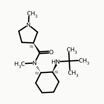 CN1CC[C@H](C(=O)N(C)[C@H]2CCCC[C@@H]2NC(C)(C)C)C1